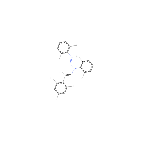 C/C(=C\N(/N=N/c1c(C(C)C)cccc1C(C)C)c1c(C(C)C)cccc1C(C)C)c1c(C(C)C)cc(C(C)C)cc1C(C)C